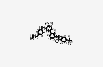 CCNCc1ccc(Nc2nc(-c3cccc(NC(=O)c4ccc(C(C)(C)C)cc4)c3C)cn(C)c2=O)cc1